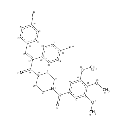 COc1cc(C(=O)N2CCN(C(=O)C(=Cc3ccc(F)cc3)c3ccc(F)cc3)CC2)cc(OC)c1OC